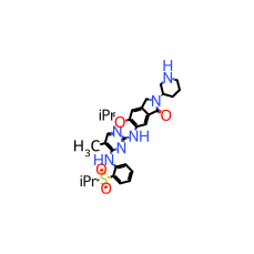 Cc1cnc(Nc2cc3c(cc2OC(C)C)CN([C@H]2CCCNC2)C3=O)nc1Nc1ccccc1S(=O)(=O)C(C)C